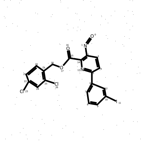 O=Nc1ccc(-c2cccc(I)c2)nc1C(=O)OCc1ccc(Cl)cc1Cl